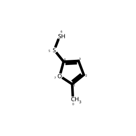 Cc1ccc(SS)o1